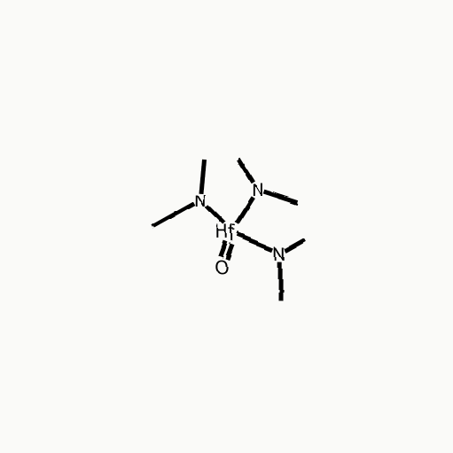 C[N](C)[Hf](=[O])([N](C)C)[N](C)C